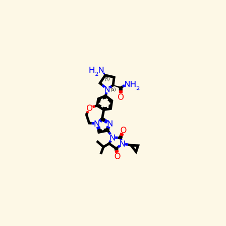 CC(C)C1C(=O)N(C2CC2)C(=O)N1c1cn2c(n1)-c1ccc(N3C[C@@H](N)C[C@H]3C(N)=O)cc1OCC2